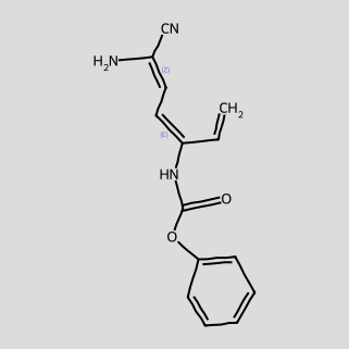 C=C/C(=C\C=C(/N)C#N)NC(=O)Oc1ccccc1